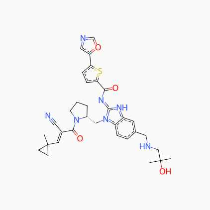 CC(C)(O)CNCc1ccc2c(c1)[nH]/c(=N\C(=O)c1ccc(-c3cnco3)s1)n2C[C@H]1CCCN1C(=O)/C(C#N)=C/C1(C)CC1